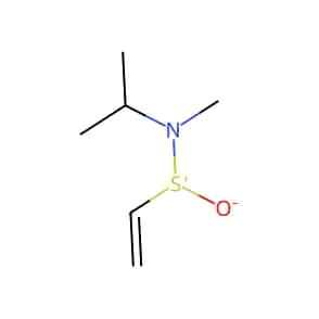 C=C[S+]([O-])N(C)C(C)C